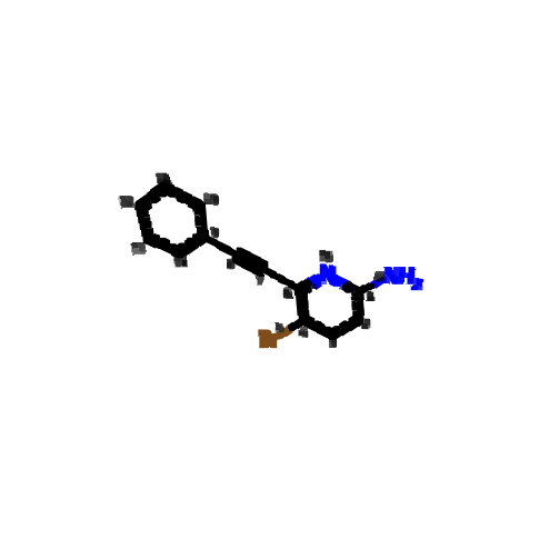 Nc1ccc(Br)c(C#Cc2ccccc2)n1